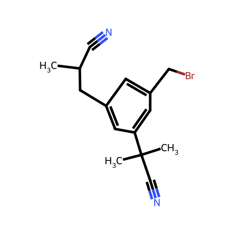 CC(C#N)Cc1cc(CBr)cc(C(C)(C)C#N)c1